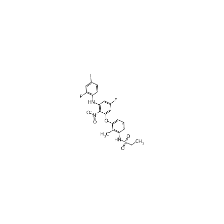 CCS(=O)(=O)Nc1cccc(Oc2cc(F)cc(Nc3ccc(I)cc3F)c2[N+](=O)[O-])c1C